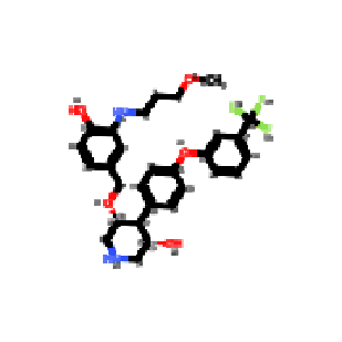 COCCCNc1cc(CO[C@H]2CNC[C@@H](O)C2c2ccc(Oc3cccc(C(F)(F)F)c3)cc2)ccc1O